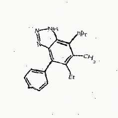 CCCc1c(C)c(CC)c(-c2ccccc2)c2nn[nH]c12